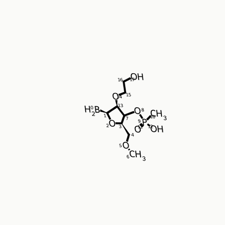 B[C@@H]1O[C@H](COC)C(OP(C)(=O)O)[C@@H]1OCCO